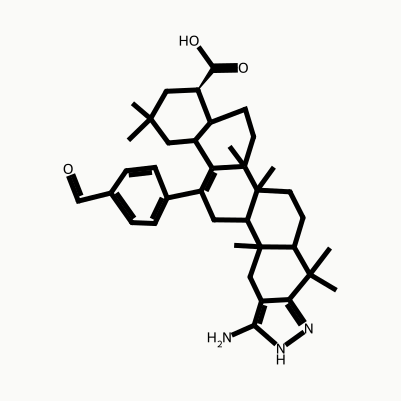 CC1(C)CC2C3=C(c4ccc(C=O)cc4)CC4C5(C)Cc6c(n[nH]c6N)C(C)(C)C5CCC4(C)C3(C)CCC2[C@H](C(=O)O)C1